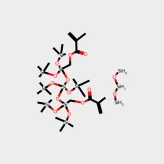 C=C(C)C(=O)OC[Si](O[Si](C)(C)C)(O[Si](C)(C)C)O[Si](O[Si](C)(C)C)(O[Si](C)(C)C)O[Si](COC(=O)C(=C)C)(O[Si](C)(C)C)O[Si](C)(C)C.[SiH3]O[SiH2]O[SiH3]